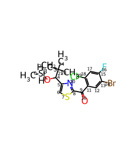 C[SiH](C)OC(c1csc(C(=O)c2cc(Br)c(F)cc2Cl)n1)C(C)(C)C